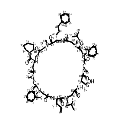 CC[C@H](C)[C@@H]1NC(=O)[C@H](Cc2ccccc2)N(C)C(=O)CN(C)C(=O)C[C@@H](C(=O)N2CCCCC2)NC(=O)[C@H](C)N(C)C(=O)[C@H](CCCc2ccccc2)NC(=O)[C@H](CC(C)C)N(C)C(=O)[C@H](Cc2ccccc2)N(C)C(=O)CN(C)C(=O)[C@H]([C@@H](C)O)NC(=O)[C@H](CC(C)C)N(C)C1=O